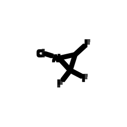 F[CH]1[Al]([Cl])[C]1(F)F